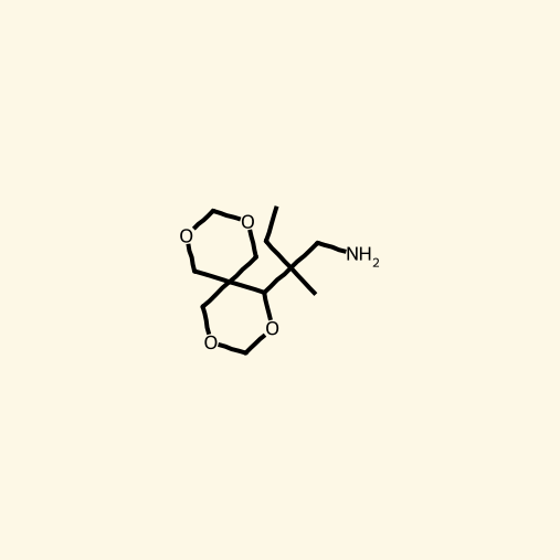 CCC(C)(CN)C1OCOCC12COCOC2